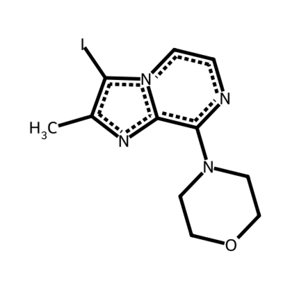 Cc1nc2c(N3CCOCC3)nccn2c1I